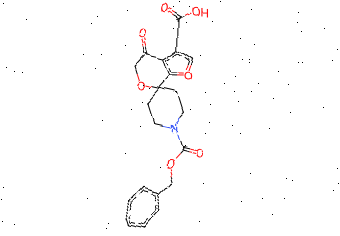 O=C(O)c1coc2c1C(=O)COC21CCN(C(=O)OCc2ccccc2)CC1